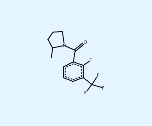 CC1CCCN1C(=O)c1cccc(C(F)(F)F)c1F